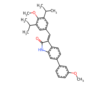 COc1cccc(-c2ccc3c(c2)NC(=O)C3=Cc2cc(C(C)C)c(OC)c(C(C)C)c2)c1